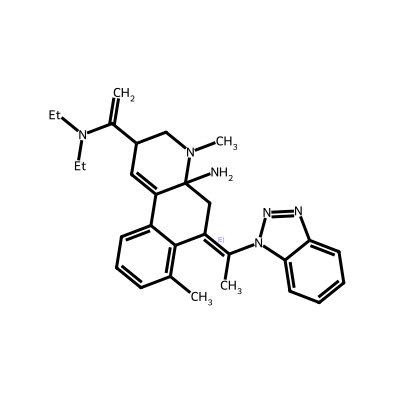 C=C(C1C=C2c3cccc(C)c3/C(=C(\C)n3nnc4ccccc43)CC2(N)N(C)C1)N(CC)CC